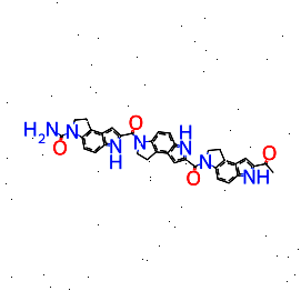 CC(=O)c1cc2c3c(ccc2[nH]1)N(C(=O)c1cc2c4c(ccc2[nH]1)N(C(=O)c1cc2c5c(ccc2[nH]1)N(C(N)=O)CC5)CC4)CC3